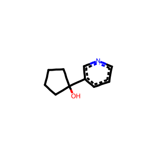 OC1(c2cccnc2)CCCC1